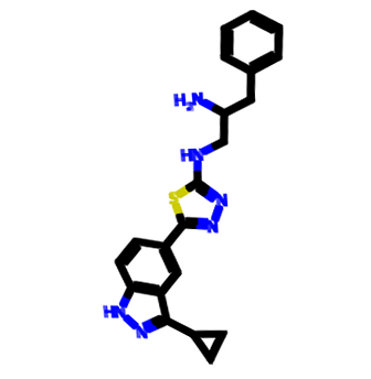 NC(CNc1nnc(-c2ccc3[nH]nc(C4CC4)c3c2)s1)Cc1ccccc1